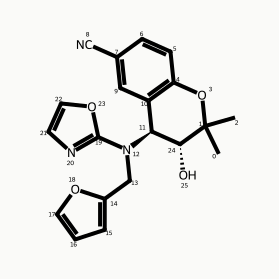 CC1(C)Oc2ccc(C#N)cc2[C@H](N(Cc2ccco2)c2ncco2)[C@H]1O